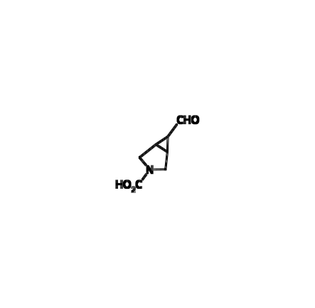 O=CC1C2CN(C(=O)O)CC12